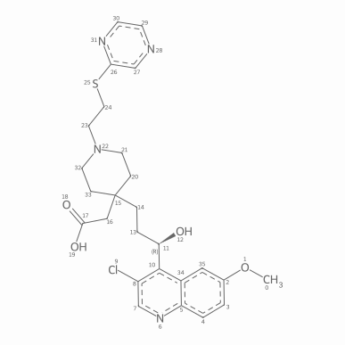 COc1ccc2ncc(Cl)c([C@H](O)CCC3(CC(=O)O)CCN(CCSc4cnccn4)CC3)c2c1